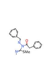 CN=C(SC)N(N=Cc1ccccc1)C(=O)Cc1ccccc1